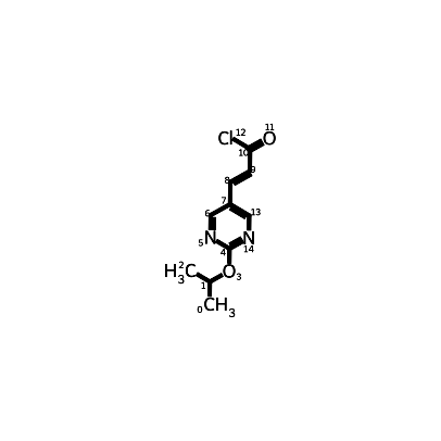 CC(C)Oc1ncc(C=CC(=O)Cl)cn1